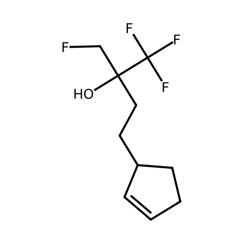 OC(CF)(CCC1C=CCC1)C(F)(F)F